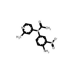 CC(=O)N(c1ccnc(C)c1)c1ccc(N)c([N+](=O)[O-])c1